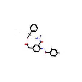 CCOC(=O)C(COC(=O)Cc1ccc(NC(=O)c2ccc(C(F)(F)F)cc2C(C)C)c(C(=O)N(C)C)c1)(C(=O)OCC)c1ccccc1